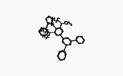 CC(C)c1cc(-c2cc(-c3ccccc3)cc(-c3ccccc3)c2)cc(C(C)C)c1-n1cccc1-c1ccccc1